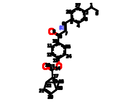 CCc1ccc(/C=C/C(=O)c2ccc(OC(=O)C3CC4C=CC3C4)cc2)cc1